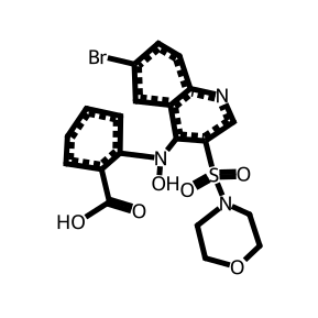 O=C(O)c1ccccc1N(O)c1c(S(=O)(=O)N2CCOCC2)cnc2ccc(Br)cc12